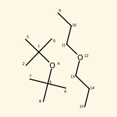 CC(C)(C)OC(C)(C)C.CCCOCCC